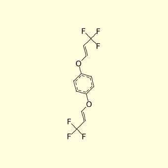 FC(F)(F)C=COc1ccc(OC=CC(F)(F)F)cc1